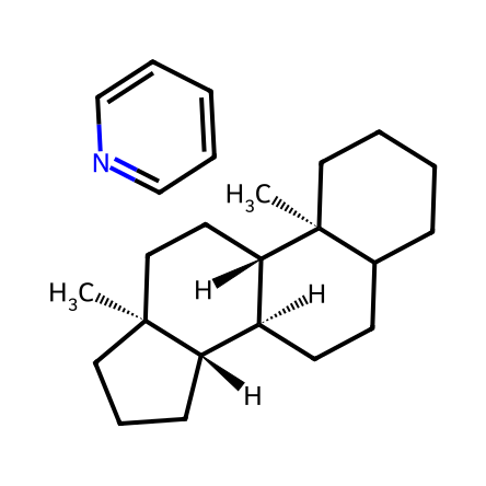 C[C@@]12CCC[C@H]1[C@@H]1CCC3CCCC[C@]3(C)[C@H]1CC2.c1ccncc1